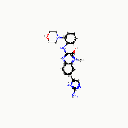 Cn1c(=O)c(Nc2ccccc2N2CCOCC2)nc2ccc(-c3cnc(N)[nH]3)cc21